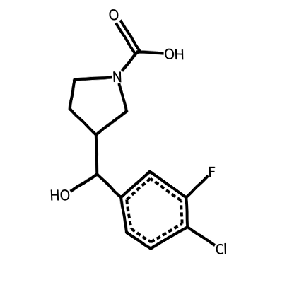 O=C(O)N1CCC(C(O)c2ccc(Cl)c(F)c2)C1